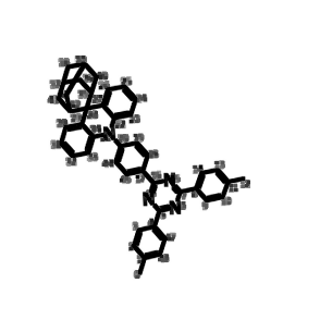 Cc1ccc(-c2nc(-c3ccc(C)cc3)nc(-c3ccc(N4c5ccccc5C5(c6ccccc64)C4CC6CC(C4)CC5C6)cc3)n2)cc1